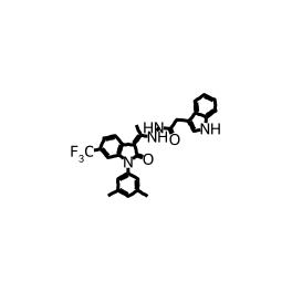 C/C(NNC(=O)Cc1c[nH]c2ccccc12)=C1/C(=O)N(c2cc(C)cc(C)c2)c2cc(C(F)(F)F)ccc21